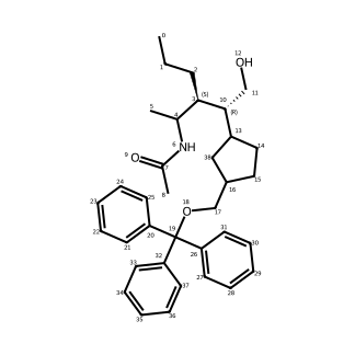 CCC[C@H](C(C)NC(C)=O)[C@H](CO)C1CCC(COC(c2ccccc2)(c2ccccc2)c2ccccc2)C1